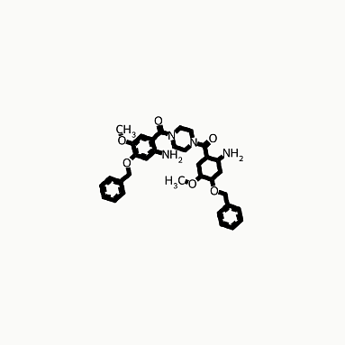 COc1cc(C(=O)N2CCN(C(=O)C3CC(OC)C(OCc4ccccc4)CC3N)CC2)c(N)cc1OCc1ccccc1